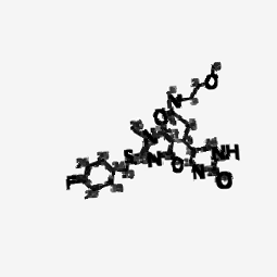 COCCN(C)C(=O)CC(c1cnc(=O)[nH]c1)c1cn(C)c(SCc2ccc(F)cc2)nc1=O